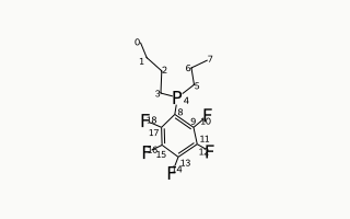 CCCCP(CCC)c1c(F)c(F)c(F)c(F)c1F